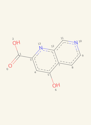 O=C(O)c1cc(O)c2ccncc2n1